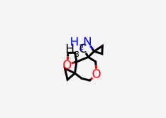 CC1(C2(N)CC2)COCCC2(CC2)C12CCO2